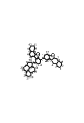 c1ccc2cc3c(cc2c1)oc1ccc(-c2ccc(-c4ccc5ccc6cccc7ccc4c5c67)c4c2oc2c5ccccc5ccc24)cc13